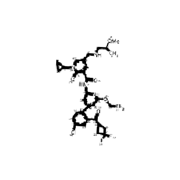 CO[C@@H](C)CNCc1cc(C(=O)Nc2cc(-c3ccc(Cl)cc3C(=O)C3CC(F)(F)C3)cc(OCC(F)(F)F)n2)c(=O)n(C2CC2)c1